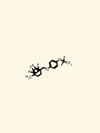 CC12CCC(COc3ccc(OC(F)(F)C(F)(F)F)cc3)(CC1)C(F)(F)C2(F)F